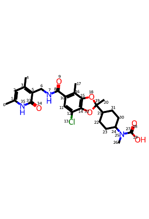 Cc1cc(C)c(CNC(=O)c2cc(Cl)c3c(c2C)OC(C)(C2CCC(N(C)C(=O)O)CC2)O3)c(=O)[nH]1